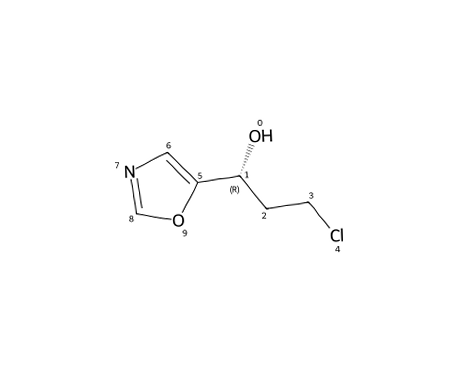 O[C@H](CCCl)c1cnco1